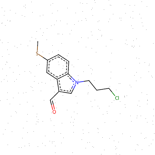 CSc1ccc2c(c1)c(C=O)cn2CCCCl